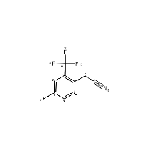 N#CCc1ccc(F)cc1C(F)(F)F